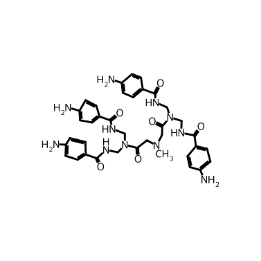 CN(CC(=O)N(CNC(=O)c1ccc(N)cc1)CNC(=O)c1ccc(N)cc1)CC(=O)N(CNC(=O)c1ccc(N)cc1)CNC(=O)c1ccc(N)cc1